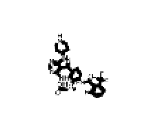 CC(=O)O.COc1cc(-c2nn(C3CCNCC3)c3ncnc(N)c23)ccc1NC(=O)c1c(F)cccc1C(F)(F)F